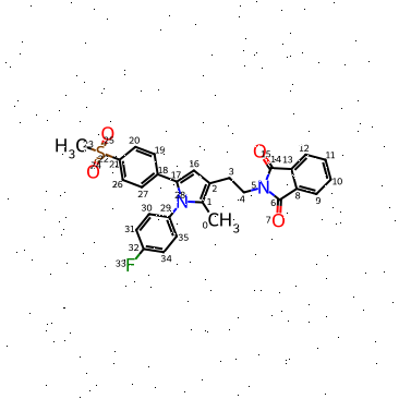 Cc1c(CCN2C(=O)c3ccccc3C2=O)cc(-c2ccc(S(C)(=O)=O)cc2)n1-c1ccc(F)cc1